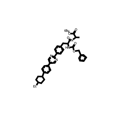 CCC1CCC(c2ccc(-c3cnc(-c4ccc(CC(NC(=O)OCc5ccccc5)C(=O)NC(C)C(=O)OC(C)(C)C)cc4)nc3)cc2)CC1